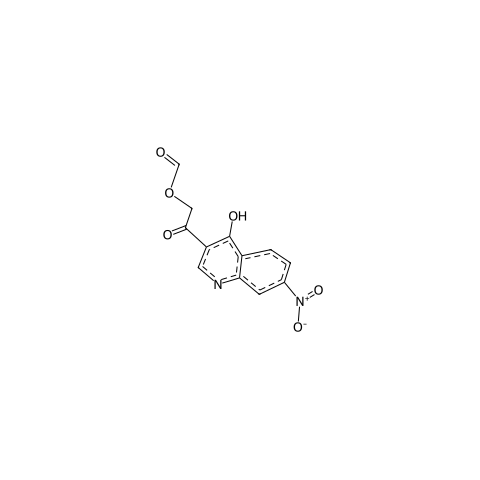 O=COCC(=O)c1cnc2cc([N+](=O)[O-])ccc2c1O